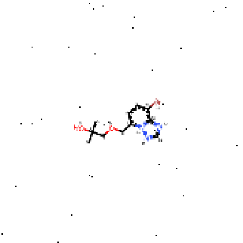 CC(C)(O)COCc1ccc(Br)c2ncnn12